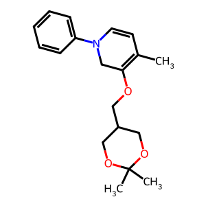 CC1=C(OCC2COC(C)(C)OC2)CN(c2ccccc2)C=C1